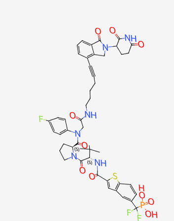 CC(C)(C)[C@H](NC(=O)c1cc2cc(C(F)(F)P(=O)(O)O)ccc2s1)C(=O)N1CCC[C@H]1C(=O)N(CC(=O)NCCCCC#Cc1cccc2c1CN(C1CCC(=O)NC1=O)C2=O)c1ccc(F)cc1